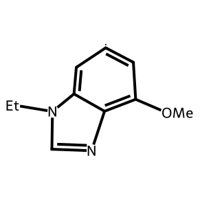 CCn1cnc2c(OC)c[c]cc21